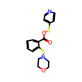 O=C(OSc1ccncc1)c1ccccc1SN1CCOCC1